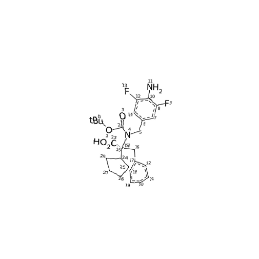 CC(C)(C)OC(=O)N(Cc1cc(F)c(N)c(F)c1)[C@](Cc1ccccc1)(C(=O)O)C1CCCC1